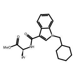 COC(=O)[C@@H](NC(=O)c1cn(CC2CCCCC2)c2ccccc12)C(C)C